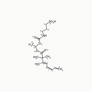 C=C/C=C\C=C(/C)C(C)(C)C(=O)OC(C)OC(=O)NCCCS(=O)(=O)O